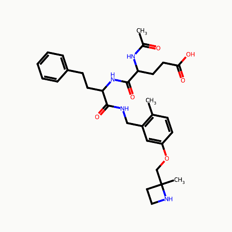 CC(=O)NC(CCC(=O)O)C(=O)NC(CCc1ccccc1)C(=O)NCc1cc(OCC2(C)CCN2)ccc1C